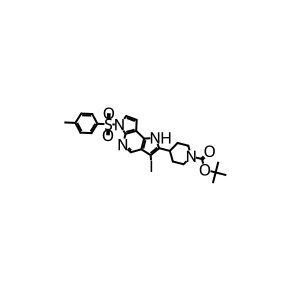 Cc1ccc(S(=O)(=O)n2ccc3c4[nH]c(C5CCN(C(=O)OC(C)(C)C)CC5)c(I)c4cnc32)cc1